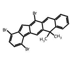 CC1(C)c2ccccc2C=c2c1cc1c(c2Br)C=c2c(Br)ccc(Br)c2=1